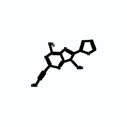 CCCCC#Cc1nc(N)c2nc(-c3ccco3)n(CCCC)c2n1